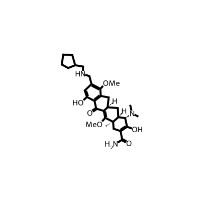 COC1=C2C(=O)c3c(O)cc(CNCC4CCCC4)c(OC)c3C[C@H]2C[C@H]2[C@H](N(C)C)C(O)=C(C(N)=O)C[C@@]12C